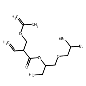 C=CC(COC(=C)C)C(=O)OC(CO)COCC(CC)CCCC